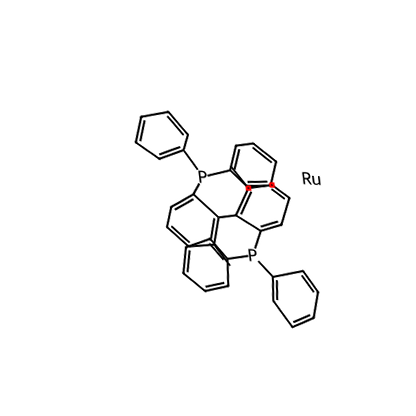 Cc1cccc(P(c2ccccc2)c2ccccc2)c1-c1c(C)cccc1P(c1ccccc1)c1ccccc1.[Ru]